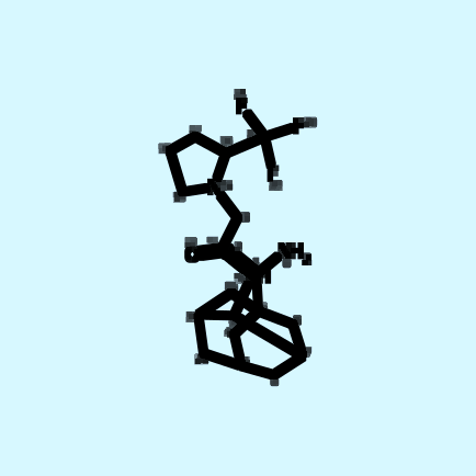 NC(=O)C12CC3CC(C1)C(NC(=O)CN1CCCC1C(F)(F)F)C(C3)C2